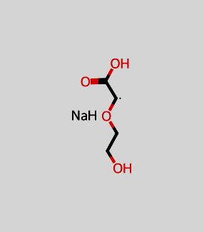 O=C(O)[CH]OCCO.[NaH]